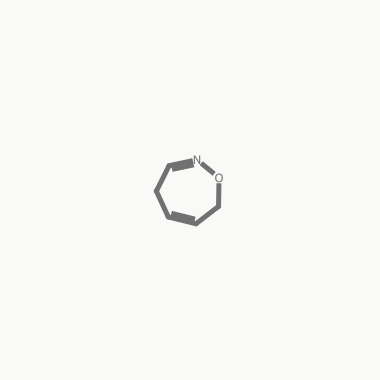 C1=CCON=CC1